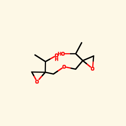 CC(O)C1(COCC2(C(C)O)CO2)CO1